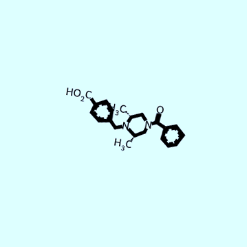 C[C@@H]1CN(C(=O)c2ccccc2)C[C@H](C)N1Cc1ccc(C(=O)O)cc1